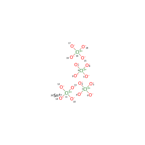 [O-][Cl+3]([O-])([O-])[O-].[O-][Cl+3]([O-])([O-])[O-].[O-][Cl+3]([O-])([O-])[O-].[O-][Cl+3]([O-])([O-])[O-].[Sn+4]